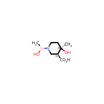 CB(O)N1CC[C@@](C)(O)[C@@H](C(=O)O)C1